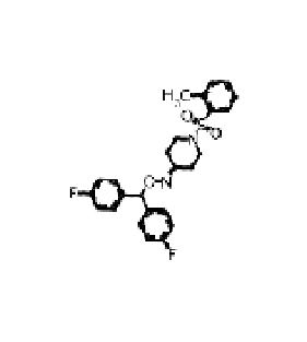 Cc1ccccc1S(=O)(=O)N1CCC(=NOC(c2ccc(F)cc2)c2ccc(F)cc2)CC1